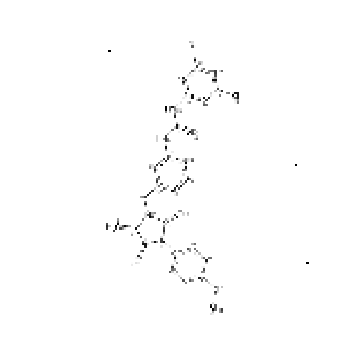 C=C1C(=O)N(c2ccc(SC(F)(F)F)cc2)C(=O)N1Cc1ccnc(NC(=O)Nc2cc(Cl)nc(Cl)c2)c1